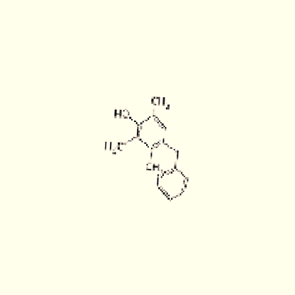 Cc1cc(Cc2ccccc2)c(C)c(C)c1O